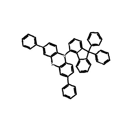 c1ccc(-c2ccc3c(c2)Sc2cc(-c4ccccc4)ccc2N3c2cccc3c2-c2ccccc2C3(c2ccccc2)c2ccccc2)cc1